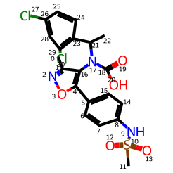 Cc1noc(-c2ccc(NS(C)(=O)=O)cc2)c1N(C(=O)O)C(C)c1ccc(Cl)cc1Cl